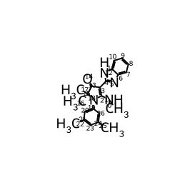 CNC1=C(c2nc3ccccc3[nH]2)C(=O)C(C)(C)N1c1cc(C)cc(C)c1